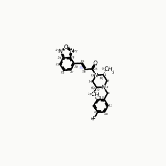 C[C@@H]1CN(Cc2ccc(F)cc2)[C@@H](C)CN1C(=O)/C=C/c1cccc2nonc12